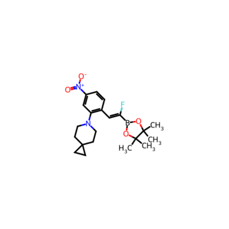 CC1(C)OB(C(F)=Cc2ccc([N+](=O)[O-])cc2N2CCC3(CC2)CC3)OC1(C)C